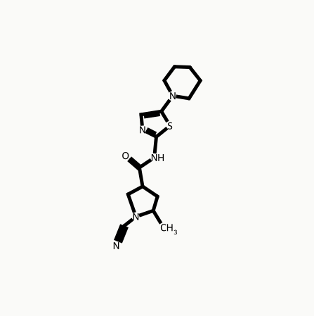 CC1CC(C(=O)Nc2ncc(N3CCCCC3)s2)CN1C#N